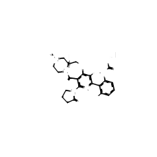 CC(C)(C)OC(=O)Oc1cccc(F)c1-c1nc(N2CCCC2=O)c2c(c1Cl)OC[C@H]1CN(C(=O)O)CCN1C2=O